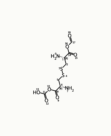 N[C@@H](CSSC[C@H](N)C(=O)OC(=O)O)C(=O)OC=O